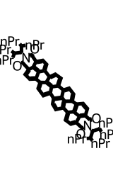 CCCC(CCC)C(C(CCC)CCC)N1C(=O)c2ccc3c4ccc5c6ccc7c8ccc9c%10c(ccc(c%11ccc(c%12ccc(c%13ccc(c2c3%13)C1=O)c4c5%12)c6c7%11)c%108)C(=O)N(C(C(CCC)CCC)C(CCC)CCC)C9=O